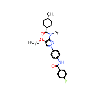 CC(C)N(c1nn(-c2ccc(NC(=O)c3ccc(F)cc3)cc2)cc1OC(=O)O)C(=O)[C@H]1CC[C@H](C)CC1